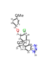 COc1ccc(COCc2cc(C(c3ccc4c(nnn4C)c3C)C(C)(C)C(=O)O)ccc2Cl)cc1